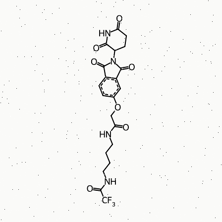 O=C(COc1ccc2c(c1)C(=O)N(C1CCC(=O)NC1=O)C2=O)NCCCCNC(=O)C(F)(F)F